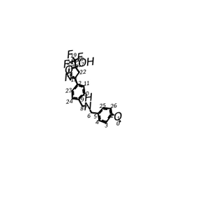 COc1ccc(CNCc2ccc(C3=NOC(O)(C(F)(F)F)C3)cc2)cc1